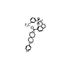 CN(C1CCc2ccc(C(=O)N3CCC4(CC3)CCN(c3ccncc3)CC4)cc21)S(=O)(=O)c1cccc(C(F)(F)F)c1